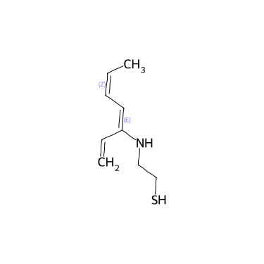 C=C/C(=C\C=C/C)NCCS